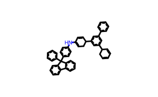 C1=CCC(c2cc(-c3ccccc3)cc(C3C=CC(Nc4ccc(C5(c6ccccc6)c6ccccc6-c6ccccc65)cc4)=CC3)c2)C=C1